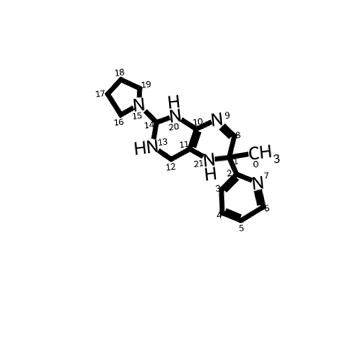 CC1(c2ccccn2)C=NC2=C(CNC(N3CCCC3)N2)N1